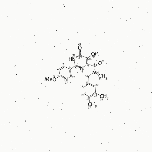 COc1ccc(-c2nc(C(=O)N(C)Cc3ccc(C)c(C)c3)c(O)c(=O)[nH]2)cn1